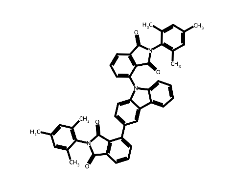 Cc1cc(C)c(N2C(=O)c3cccc(-c4ccc5c(c4)c4ccccc4n5-c4cccc5c4C(=O)N(c4c(C)cc(C)cc4C)C5=O)c3C2=O)c(C)c1